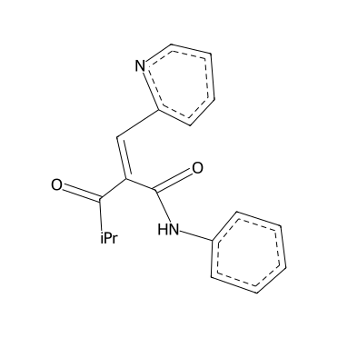 CC(C)C(=O)/C(=C/c1ccccn1)C(=O)Nc1ccccc1